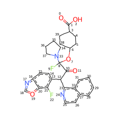 O=C(O)C1CCC(OC(F)(C(=O)C(c2ccc3ncoc3c2F)c2nccc3ccccc23)N2CCCC2)CC1